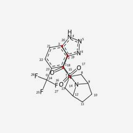 O=C(c1c[nH]nn1)N1CC2CCC(C1)N2S(=O)(=O)c1ccccc1C(F)(F)F